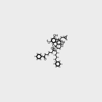 COc1cc(O)c2c3c1O[C@H]1[C@@H](N(CCCCc4ccccc4)C(=O)CCCCC(=O)c4ccccc4)CC[C@H]4[C@@H](C2)N(CC2CC2)CC[C@@]341